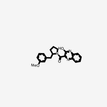 COc1cccc(CC2CCCN2C(=O)c2nc3ccccc3nc2O)c1